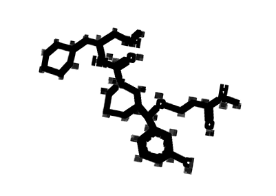 CNCC(CC1CCCCC1)NC(=O)N1CCCC(C(OCCC(=O)NC)c2cccc(Cl)c2)C1